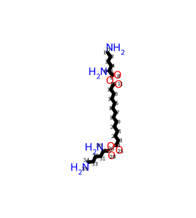 NCCCC[C@H](N)C(=O)OC(=O)CCCCCCCCCCCCC(=O)OC(=O)[C@@H](N)CCCCN